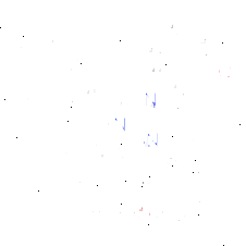 C1=CCC(c2nc(C3=C(c4ccc(-c5ccccc5)cc4)C=CC4Oc5ccccc5C34)nc(-c3cccc4oc5ccccc5c34)n2)C=C1